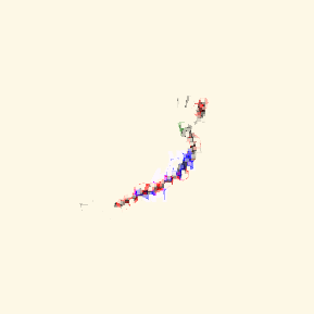 CC(C)(CCCCc1cc(Oc2ccc(SNc3ccc(C(=O)NCCOCCOCC(=O)NCCOCCOCC(=O)O)cn3)cc2)ccc1F)CC(C)(C)C(=O)OC(C)(C)C